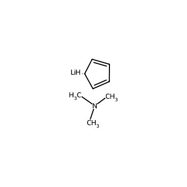 CN(C)C.[CH]1C=CC=C1.[LiH]